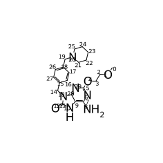 COCCOc1nc(N)c2[nH]c(=O)n(Cc3ccc(CN4CCCCC4)cc3)c2n1